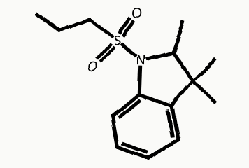 CCCS(=O)(=O)N1c2ccccc2C(C)(C)C1C